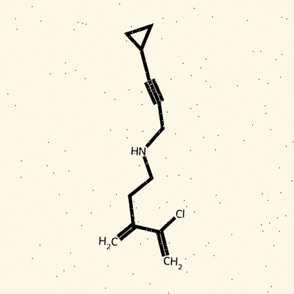 C=C(Cl)C(=C)CCNCC#CC1CC1